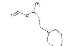 CC(CCN1CCCCC1)O[C]=O